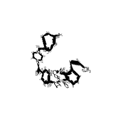 C=Nc1c(/C=C\C)cccc1S(=O)(=O)Nc1ccc(C(=O)N2CCN(Cc3ccc(C(C)=O)cc3)CC2)cc1